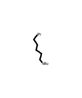 [CH2]CCCCCCCCC(C)C